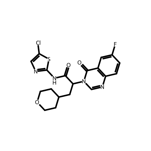 O=C(Nc1ncc(Cl)s1)C(CC1CCOCC1)n1cnc2ccc(F)cc2c1=O